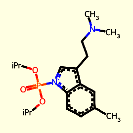 Cc1ccc2c(c1)c(CCN(C)C)cn2P(=O)(OC(C)C)OC(C)C